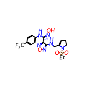 CCS(=O)(=O)N1CCC=C1CNc1nonc1/C(=N/O)Nc1ccc(C(F)(F)F)cc1